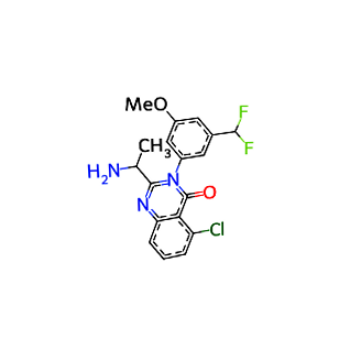 COc1cc(C(F)F)cc(-n2c(C(C)N)nc3cccc(Cl)c3c2=O)c1